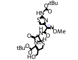 CO/N=C(\C(=O)N[C@@H]1C(=O)N2C(C(=O)OC(C)(C)C)=C(CO)CS[C@@H]12)c1csc(NC(=O)OC(C)(C)C)n1